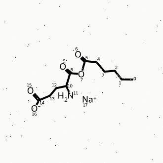 CCCCCC(=O)OC(=O)C(N)CCC(=O)[O-].[Na+]